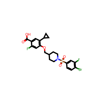 O=C(O)c1cc(C2CC2)c(OCC2CCN(S(=O)(=O)c3ccc(Br)c(F)c3)CC2)cc1F